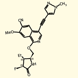 CC[C@@H]1[C@H](F)C(=O)N[C@@H]1COc1ncc(C#Cc2cnn(C)c2)c2cc(C#N)c(OC)cc12